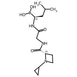 CC(C)C[C@@H](NC(=O)CNC(=O)[C@@H]1CCN1C1CC1)B(O)O